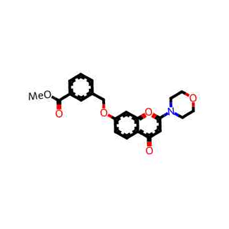 COC(=O)c1cccc(COc2ccc3c(=O)cc(N4CCOCC4)oc3c2)c1